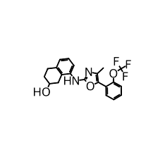 Cc1nc(Nc2cccc3c2CC(O)CC3)oc1-c1ccccc1OC(F)(F)F